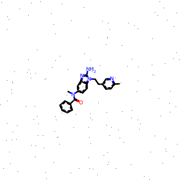 Cc1ccc(CCn2c(N)nc3cc(N(C)C(=O)c4ccccc4)ccc32)cn1